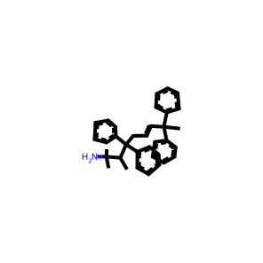 CC(C(C)(C)N)C(C/C=C/C(C)(c1ccccc1)c1ccccc1)(c1ccccc1)c1ccccc1